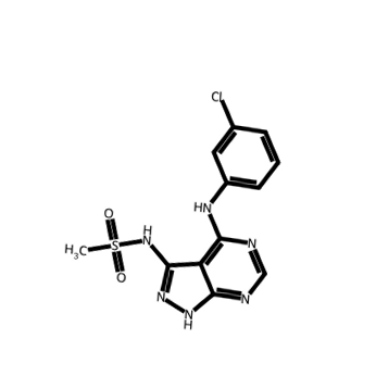 CS(=O)(=O)Nc1n[nH]c2ncnc(Nc3cccc(Cl)c3)c12